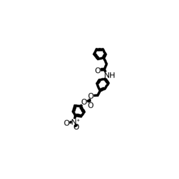 O=C(Cc1ccccc1)Nc1ccc(COC(=O)Oc2ccc([N+](=O)[O-])cc2)cc1